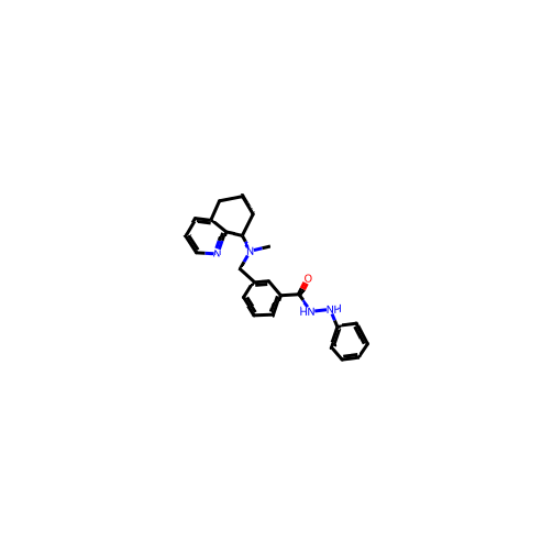 CN(Cc1cccc(C(=O)NNc2ccccc2)c1)C1CCCc2cccnc21